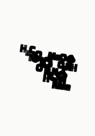 CNC1=CC(Nc2cccn(-c3cnc(C)o3)c2=O)=NC2C(C(=O)N[C@@H]3CC[C@H]3OC)C=NN12